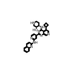 O[C@H]1CNCC[C@H]1Nc1nc(-c2ccnc(Nc3ccc4ccccc4n3)c2)nc2cncc(C3CCC3)c12